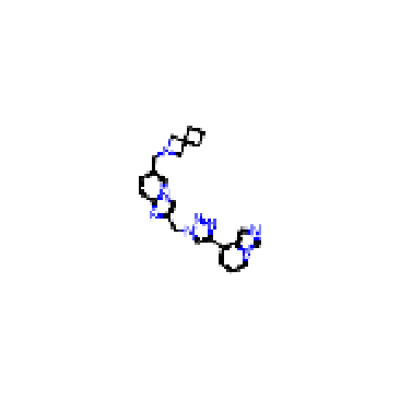 c1cc(-c2cn(Cc3cn4cc(CN5CC6(CCC6)C5)ccc4n3)nn2)c2cncn2c1